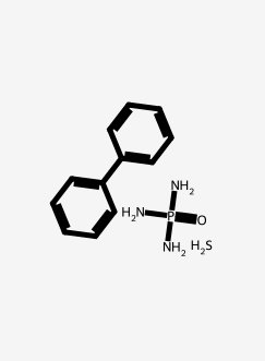 NP(N)(N)=O.S.c1ccc(-c2ccccc2)cc1